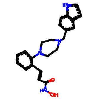 O=C(C=Cc1ccccc1N1CCN(Cc2ccc3[nH]ccc3c2)CC1)NO